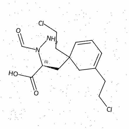 NN(C=O)[C@@H](CC1(CCCl)C=CC=C(CCCl)C1)C(=O)O